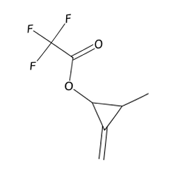 C=C1C(C)C1OC(=O)C(F)(F)F